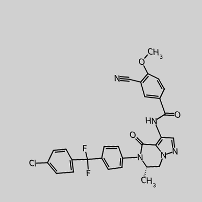 COc1ccc(C(=O)Nc2cnn3c2C(=O)N(c2ccc(C(F)(F)c4ccc(Cl)cc4)cc2)[C@@H](C)C3)cc1C#N